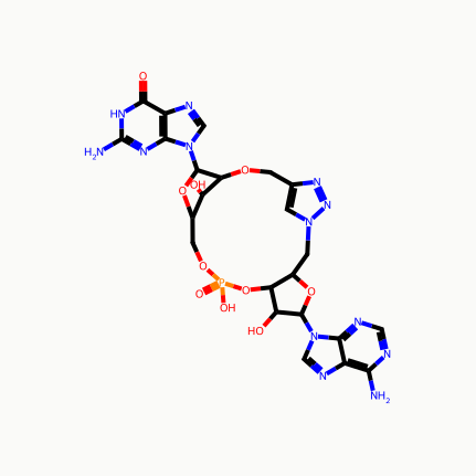 Nc1nc2c(ncn2C2OC3COP(=O)(O)OC4C(Cn5cc(nn5)COC2C3O)OC(n2cnc3c(N)ncnc32)C4O)c(=O)[nH]1